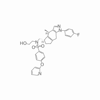 C[C@@H]1C2=C(CC[C@@H]2CN(CCO)S(=O)(=O)c2ccc(Oc3ccccn3)cc2)Cc2c1cnn2-c1ccc(F)cc1